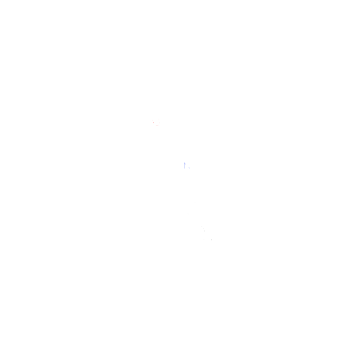 CC(=O)CN(C)c1ccccc1C